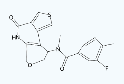 Cc1ccc(C(=O)N(C)C2COCc3[nH]c(=O)c4cscc4c32)cc1F